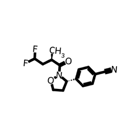 C[C@H](CC(F)F)C(=O)N1OCC[C@H]1c1ccc(C#N)cc1